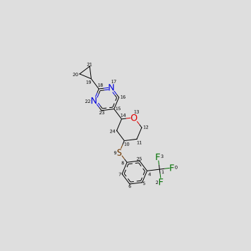 FC(F)(F)c1cccc(SC2CCOC(c3cnc(C4CC4)nc3)C2)c1